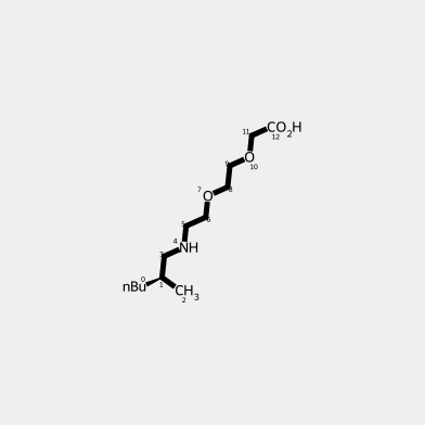 CCCC[C@H](C)CNCCOCCOCC(=O)O